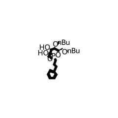 CCCCOC[C@H]1OP(=O)(CCCc2ccccc2)C(C)(O)[C@@H](O)[C@@H]1OCCCC